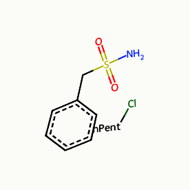 CCCCCCl.NS(=O)(=O)Cc1ccccc1